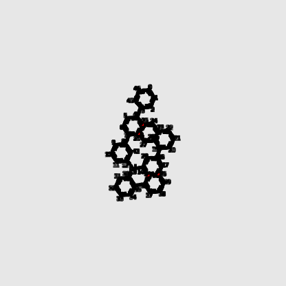 c1ccc(-c2ccc(-c3cccc(N(c4cccc(-c5cccc6ccccc56)c4)c4ccccc4-c4ccccc4)c3)cc2)cc1